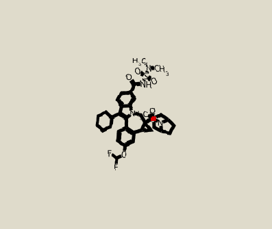 CN1CC2CCC(C1)N2C(=O)C12CC1c1cc(OC(F)F)ccc1-c1c(C3CCCCC3)c3ccc(C(=O)NS(=O)(=O)N(C)C)cc3n1C2